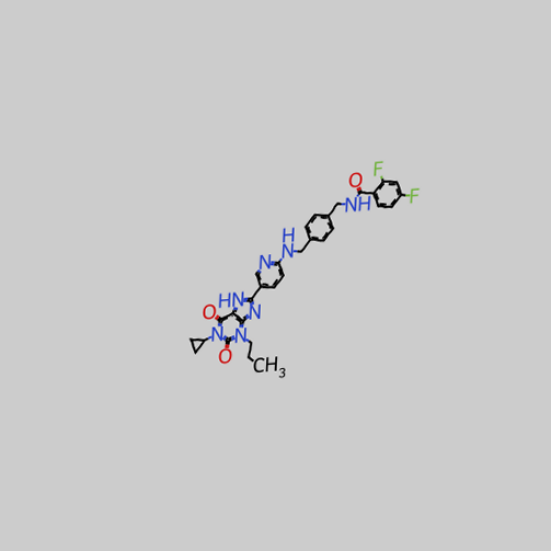 CCCn1c(=O)n(C2CC2)c(=O)c2[nH]c(-c3ccc(NCc4ccc(CNC(=O)c5ccc(F)cc5F)cc4)nc3)nc21